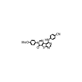 COc1ccc(-n2cnc3c(sc4ncnc(Nc5ccc(C#N)cc5)c43)c2=O)cc1